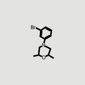 CC1CN(c2cccc(Br)c2)CC(C)O1